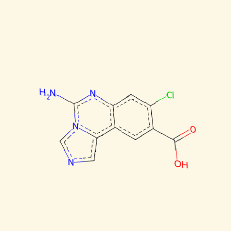 Nc1nc2cc(Cl)c(C(=O)O)cc2c2cncn12